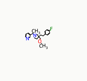 CCOCC1(CCc2ccc(F)cc2)CCN(C(C)c2cccnc2)C1